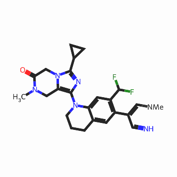 CN/C=C(\C=N)c1cc2c(cc1C(F)F)N(c1nc(C3CC3)n3c1CN(C)C(=O)C3)CCC2